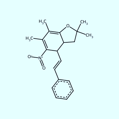 CC1=C2OC(C)(C)CC2C(C=Cc2ccccc2)C([N+](=O)[O-])=C1C